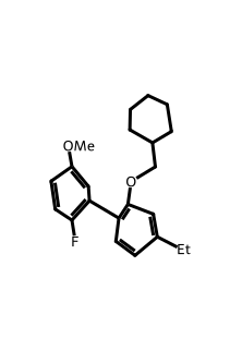 CCc1ccc(-c2cc(OC)ccc2F)c(OCC2CCCCC2)c1